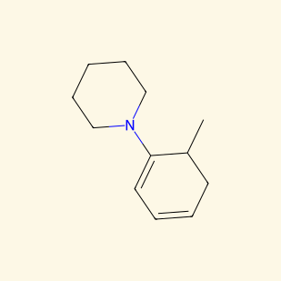 CC1CC=CC=C1N1CCCCC1